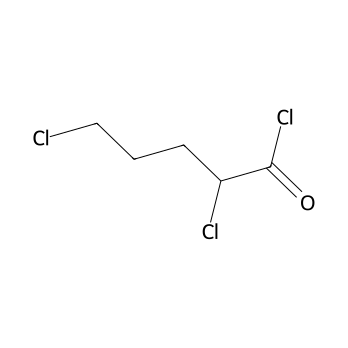 O=C(Cl)C(Cl)CCCCl